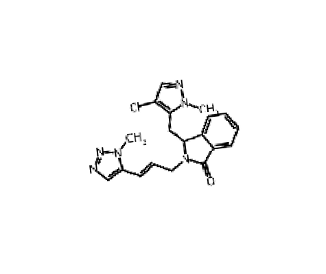 Cn1nncc1C=CCN1C(=O)c2ccccc2C1Cc1c(Cl)cnn1C